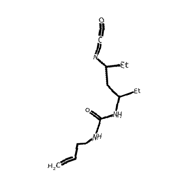 C=CCNC(=O)NC(CC)CC(CC)N=C=O